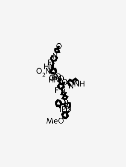 COc1ccc(CN2CCN(C3CC4(C3)CN(c3cc(Oc5cnc6[nH]ccc6c5)c(C(=O)NS(=O)(=O)c5ccc(NCC6(F)CCN(C7CC(=O)C7)CC6)c([N+](=O)[O-])c5)cc3F)C4)C(c3ccccc3C(C)C)C2)cc1